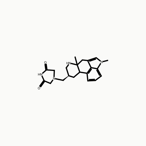 Cn1cc2c3c(cccc31)C1C[C@@H](CN3CC(=O)NC(=O)C3)CNC1(C)C2